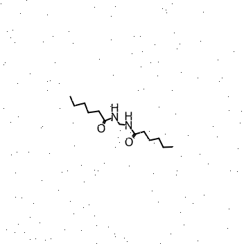 CCCCCC(=O)NCNC(=O)CCCCC